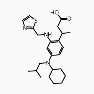 CC(C)CN(c1ccc(C(C)CC(=O)O)c(NCc2nccs2)c1)C1CCCCC1